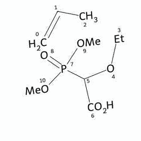 C=CC.CCOC(C(=O)O)P(=O)(OC)OC